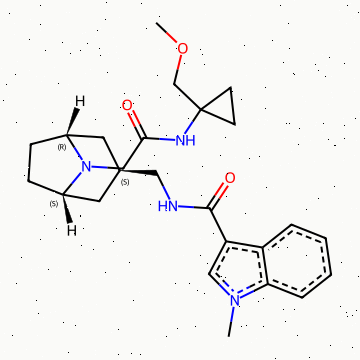 COCC1(NC(=O)CN2[C@@H]3CC[C@H]2C[C@H](CNC(=O)c2cn(C)c4ccccc24)C3)CC1